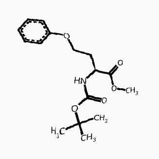 COC(=O)[C@H](CCOc1ccccc1)NC(=O)OC(C)(C)C